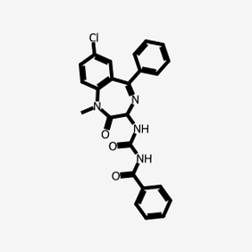 CN1C(=O)C(NC(=O)NC(=O)c2ccccc2)N=C(c2ccccc2)c2cc(Cl)ccc21